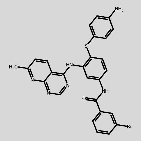 Cc1ccc2c(Nc3cc(NC(=O)c4cccc(Br)c4)ccc3Sc3ccc(N)cc3)ncnc2n1